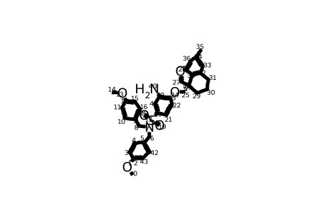 COc1ccc(CN(Cc2ccc(OC)cc2)S(=O)(=O)c2ccc(OC[C@@]3(C=O)CCCc4cc(C)ccc43)c(N)c2)cc1